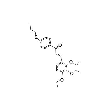 CCCSc1ccc(C(=O)C=Cc2ccc(OCC)c(OCC)c2OCC)cc1